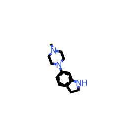 CN1CCN(c2ccc3c(c2)NCC3)CC1